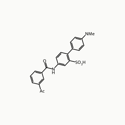 CNc1ccc(-c2ccc(NC(=O)c3cccc(C(C)=O)c3)cc2S(=O)(=O)O)cc1